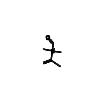 C=C(C)[Si](C)(C)C=O